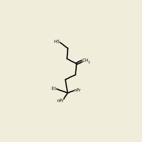 C=C(CCS)CCC(CC)(CCC)CCC